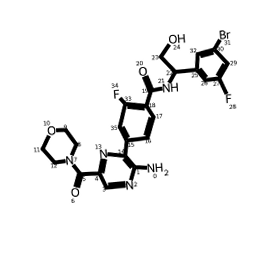 Nc1ncc(C(=O)N2CCOCC2)nc1-c1ccc(C(=O)NC(CO)c2cc(F)cc(Br)c2)c(F)c1